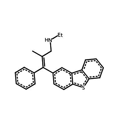 CCNCC(C)=C(c1ccccc1)c1ccc2sc3ccccc3c2c1